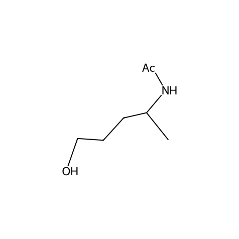 CC(=O)NC(C)CCCO